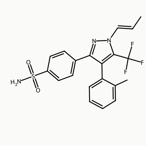 CC=Cn1nc(-c2ccc(S(N)(=O)=O)cc2)c(-c2ccccc2C)c1C(F)(F)F